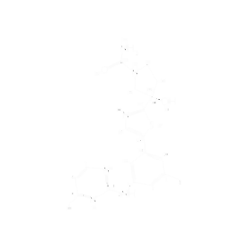 Cc1cc(Nc2nccc(C)n2)cc(-c2cnc([C@@]3(O)CCN(C(N)=O)C3)s2)c1